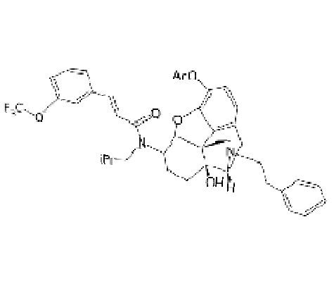 CC(=O)Oc1ccc2c3c1OC1C(N(CC(C)C)C(=O)/C=C/c4cccc(OC(F)(F)F)c4)CC[C@@]4(O)[C@@H](C2)N(CCc2ccccc2)CC[C@]314